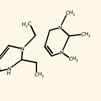 CC1N(C)C=CCN1C.CCC1NCC=CN1CC